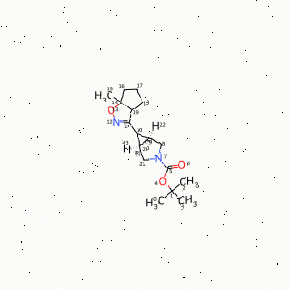 CC(C)(C)OC(=O)N1C[C@@H]2C(C3=NOC4(C)CCCC34)[C@@H]2C1